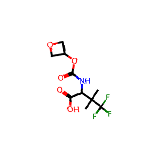 CC(C)(C(NC(=O)OC1COC1)C(=O)O)C(F)(F)F